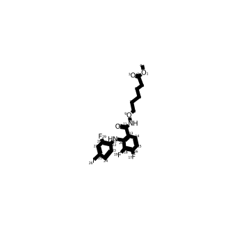 COC(=O)CCCCCONC(=O)c1ccc(F)c(F)c1Nc1ccc(I)cc1F